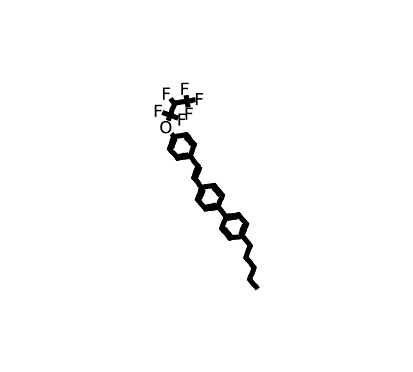 CCCCCc1ccc(-c2ccc(C=Cc3ccc(OC(F)(F)C(F)C(F)(F)F)cc3)cc2)cc1